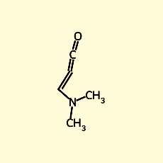 CN(C)C=C=C=O